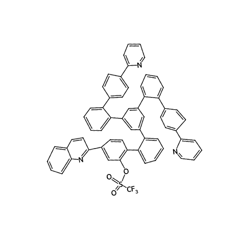 O=S(=O)(Oc1cc(-c2ccc3ccccc3n2)ccc1-c1ccccc1-c1cc(-c2ccccc2-c2ccc(-c3ccccn3)cc2)cc(-c2ccccc2-c2ccc(-c3ccccn3)cc2)c1)C(F)(F)F